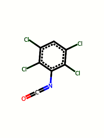 O=C=Nc1c(Cl)c(Cl)cc(Cl)c1Cl